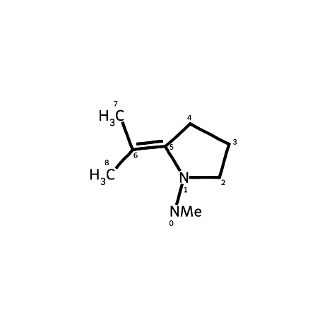 CNN1CCCC1=C(C)C